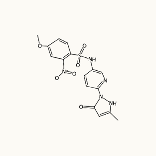 COc1ccc(S(=O)(=O)Nc2ccc(-n3[nH]c(C)cc3=O)nc2)c([N+](=O)[O-])c1